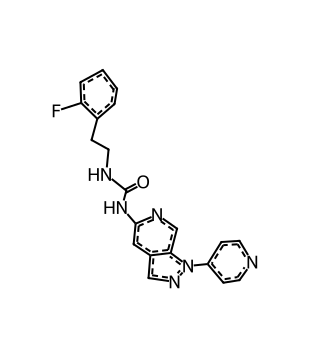 O=C(NCCc1ccccc1F)Nc1cc2cnn(-c3ccncc3)c2cn1